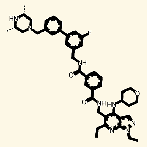 CCc1nc2c(cnn2CC)c(NC2CCOCC2)c1CNC(=O)c1cccc(C(=O)NCc2cc(F)cc(-c3cccc(CN4C[C@@H](C)N[C@@H](C)C4)c3)c2)c1